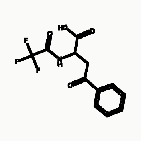 O=C(CC(NC(=O)C(F)(F)F)C(=O)O)c1ccccc1